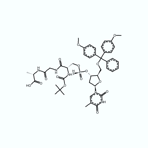 COc1ccc(C(OC[C@H]2O[C@@H](n3cc(C)c(=O)[nH]c3=O)C[C@@H]2O[P@@](=O)(S)OC[C@H](NC(=O)OC(C)(C)C)C(=O)NCC(=O)N[C@@H](C)C(=O)O)(c2ccccc2)c2ccc(OC)cc2)cc1